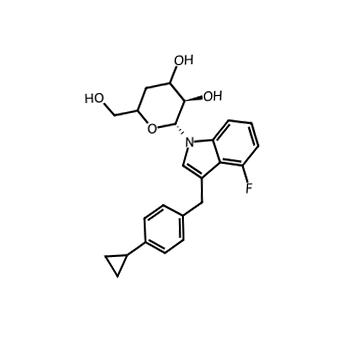 OCC1CC(O)[C@@H](O)[C@H](n2cc(Cc3ccc(C4CC4)cc3)c3c(F)cccc32)O1